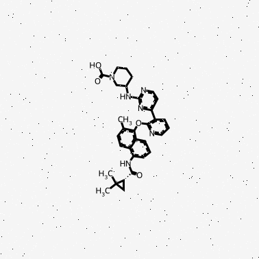 Cc1ccc2c(NC(=O)[C@@H]3CC3(C)C)cccc2c1Oc1ncccc1-c1ccnc(NC2CCCN(C(=O)O)C2)n1